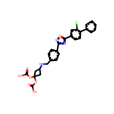 O=C(O)OC1(OC(=O)O)CC(NCc2ccc(-c3noc(-c4ccc(-c5ccccc5)c(F)c4)n3)cc2)C1